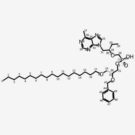 CCCCCCCCCCCCCCCCCCOC[C@H](COP(=O)(O)CO[C@H](CC)Cn1cnc2c(C)ncnc21)OCc1ccccc1